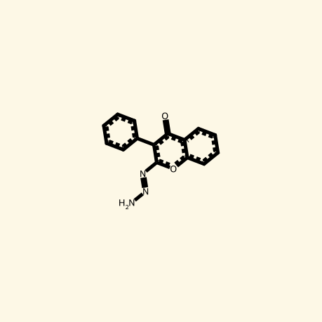 NN=Nc1oc2ccccc2c(=O)c1-c1ccccc1